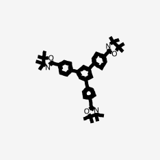 CC1(C)N=C(c2ccc(-c3cc(-c4ccc(C5=NC(C)(C)C(C)(C)O5)cc4)cc(-c4ccc(C5=NC(C)(C)C(C)(C)O5)cc4)c3)cc2)OC1(C)C